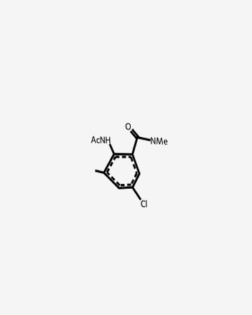 CNC(=O)c1cc(Cl)cc(C)c1NC(C)=O